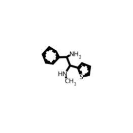 CNC(c1cccs1)C(N)c1ccccc1